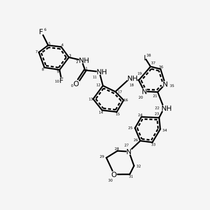 O=C(Nc1cc(F)ccc1F)Nc1ccccc1Nc1nc(Nc2ccc(N3CCOCC3)cc2)ncc1I